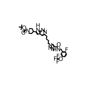 CC(C)(C)OC(=O)N1CCC(c2cc3cc(CCCCn4cc(C(=O)NCc5cc(OC(F)(F)F)ccc5F)nn4)nnc3[nH]2)CC1